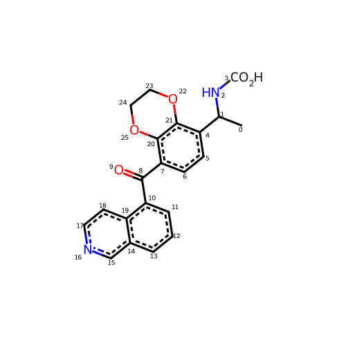 CC(NC(=O)O)c1ccc(C(=O)c2cccc3cnccc23)c2c1OCCO2